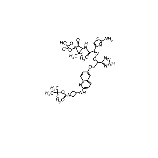 CC(C)(C)OC(=O)N1CC(Nc2ccc3cc(OCC(O/N=C(\C(=O)N[C@@H]4C(=O)N(OS(=O)(=O)O)C4(C)C)c4csc(N)n4)c4nn[nH]n4)ccc3n2)C1